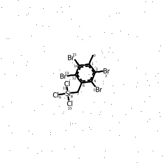 Cc1c(Br)c(Br)c(C[Si](Cl)(Cl)Cl)c(Br)c1Br